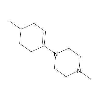 CC1CC=C(N2CCN(C)CC2)CC1